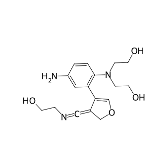 Nc1ccc(N(CCO)CCO)c(C2=COCC2=C=NCCO)c1